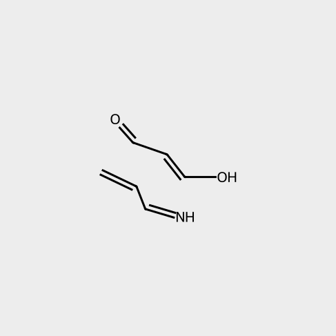 C=CC=N.O=CC=CO